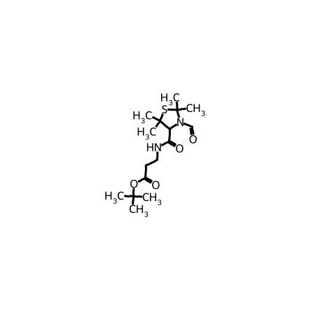 CC(C)(C)OC(=O)CCNC(=O)C1N(C=O)C(C)(C)SC1(C)C